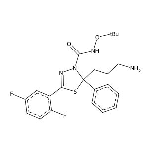 CC(C)(C)ONC(=O)N1N=C(c2cc(F)ccc2F)SC1(CCCN)c1ccccc1